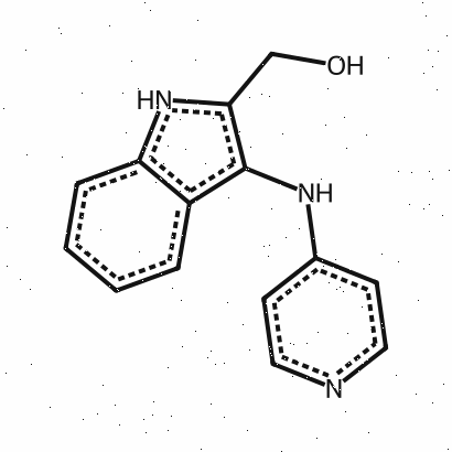 OCc1[nH]c2ccccc2c1Nc1ccncc1